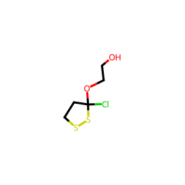 OCCOC1(Cl)CCSS1